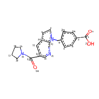 O=C(O)c1ccc(-n2ccc3cc(C(=O)N4CCCC4)cnc32)cc1